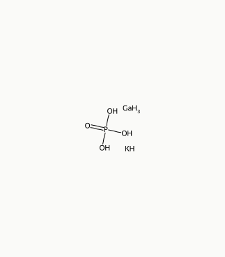 O=P(O)(O)O.[GaH3].[KH]